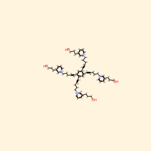 OCCCc1ccc[n+](CCCC#Cc2cc(C#CCCC[n+]3cccc(CCCO)c3)c(C#CCCC[n+]3cccc(CCCO)c3)cc2C#CCCC[n+]2cccc(CCCO)c2)c1